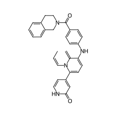 C=C1C(Nc2ccc(C(=O)N3CCc4ccccc4C3)cc2)=CC=C(c2cc[nH]c(=O)c2)N1/C=C\C